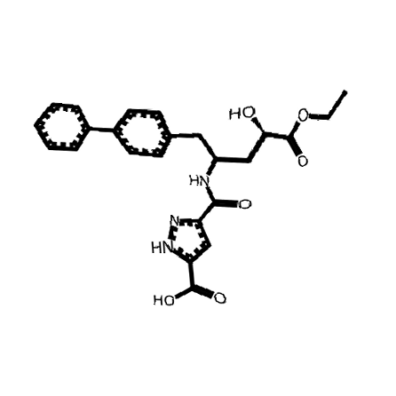 CCOC(=O)[C@H](O)CC(Cc1ccc(-c2ccccc2)cc1)NC(=O)c1cc(C(=O)O)[nH]n1